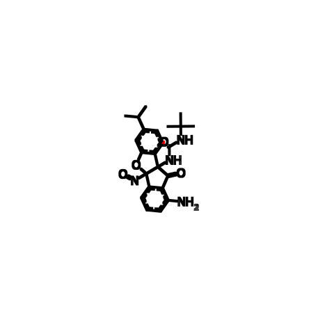 CC(C)c1ccc2c(c1)OC1(N=O)c3cccc(N)c3C(=O)C21NC(=O)NC(C)(C)C